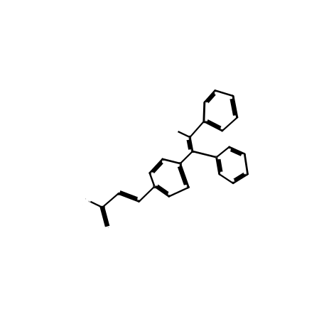 CCC(=C(c1ccccc1)c1ccc(C=CC(N)=O)cc1)c1ccccc1